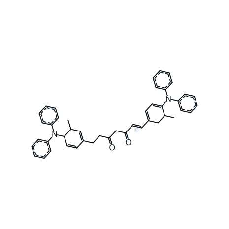 CC1CC(/C=C/C(=O)CC(=O)CCC2=CC(C)C(N(c3ccccc3)c3ccccc3)C=C2)=CC=C1N(c1ccccc1)c1ccccc1